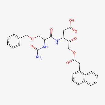 NC(=O)NC(COCc1ccccc1)C(=O)NC(CC(=O)O)C(=O)COC(=O)Cc1cccc2ccccc12